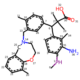 CPc1ccc(C(c2ccc(C)c(CN3CCOc4c(C)cccc4C3)c2)C(C)(C)C(=O)O)c(C)c1N